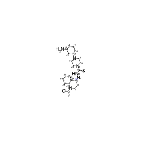 CC(=O)N1CC/C(=N/NC(=S)N2CCN(c3cccc(N)c3)CC2)c2ncccc21